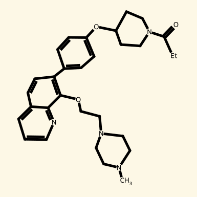 CCC(=O)N1CCC(Oc2ccc(-c3ccc4cccnc4c3OCCN3CCN(C)CC3)cc2)CC1